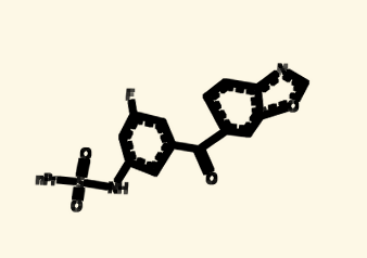 CCCS(=O)(=O)Nc1cc(F)cc(C(=O)c2ccc3ncoc3c2)c1